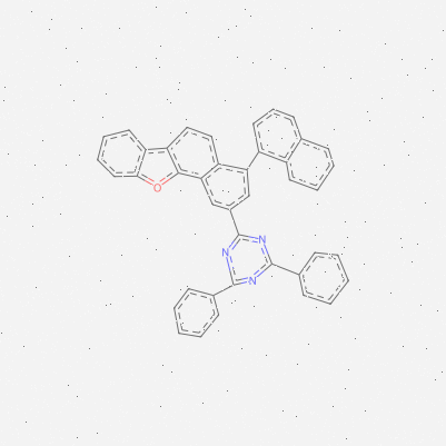 c1ccc(-c2nc(-c3ccccc3)nc(-c3cc(-c4cccc5ccccc45)c4ccc5c6ccccc6oc5c4c3)n2)cc1